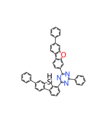 C[SiH]1c2cc(-c3ccccc3)ccc2-c2cccc(-c3nc(-c4ccccc4)nc(-c4ccc5c(c4)oc4cc(-c6ccccc6)ccc45)n3)c21